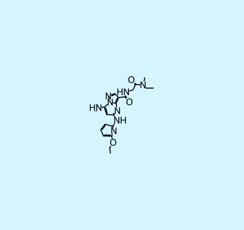 CCOc1cccc(Nc2cc(NC)n3ncc(C(=O)NCC(=O)N(C)CC)c3n2)n1